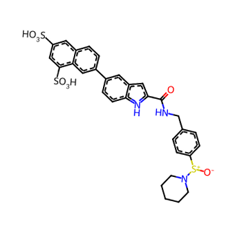 O=C(NCc1ccc([S+]([O-])N2CCCCC2)cc1)c1cc2cc(-c3ccc4cc(S(=O)(=O)O)cc(S(=O)(=O)O)c4c3)ccc2[nH]1